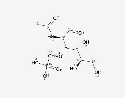 CC(=O)N[C@@H](C=O)[C@@H](O)[C@H](O)[C@H](O)CO.O=P(O)(O)O